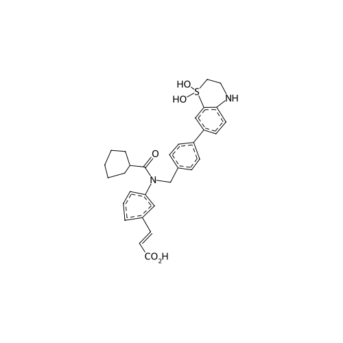 O=C(O)C=Cc1cccc(N(Cc2ccc(-c3ccc4c(c3)S(O)(O)CCN4)cc2)C(=O)C2CCCCC2)c1